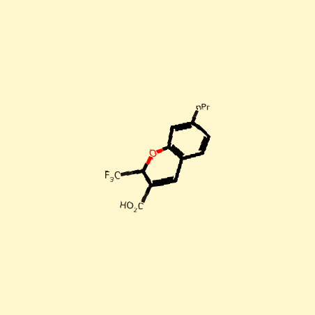 CCCc1ccc2c(c1)OC(C(F)(F)F)C(C(=O)O)=C2